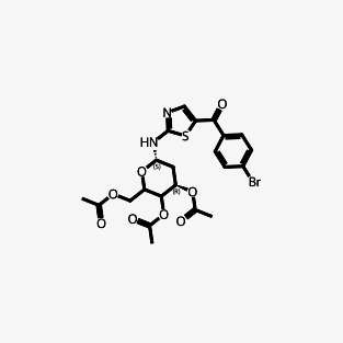 CC(=O)OCC1O[C@H](Nc2ncc(C(=O)c3ccc(Br)cc3)s2)C[C@@H](OC(C)=O)C1OC(C)=O